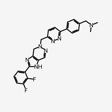 CN(C)Cc1ccc(-c2ccc(CN3Cc4nc(-c5cccc(F)c5F)[nH]c4C=N3)nn2)cc1